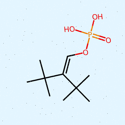 CC(C)(C)C(=COP(=O)(O)O)C(C)(C)C